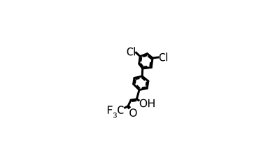 O=C(C=C(O)c1ccc(-c2cc(Cl)cc(Cl)c2)cc1)C(F)(F)F